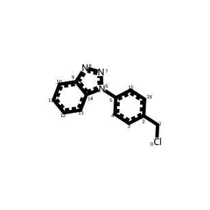 ClCc1ccc(-n2nnc3ccccc32)cc1